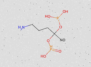 NCCCC(N=O)(OP(O)O)O[PH](=O)O